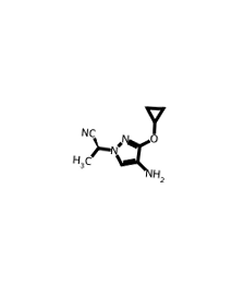 C[C@@H](C#N)n1cc(N)c(OC2CC2)n1